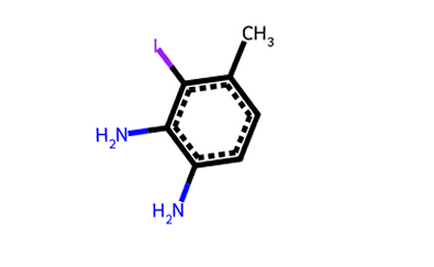 Cc1ccc(N)c(N)c1I